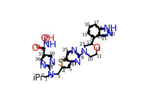 CC(C)CN(Cc1cc2nc(N3CCOC(c4cccc5[nH]ncc45)C3)ncc2s1)c1ncc(C(=O)NO)cn1